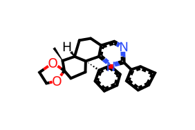 C[C@H]1[C@@H]2CCc3cnc(-c4ccccc4)nc3[C@@]2(c2ccccc2)CCC12OCCO2